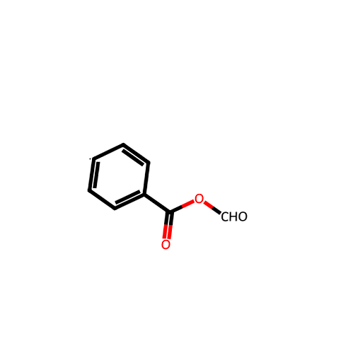 O=COC(=O)c1cc[c]cc1